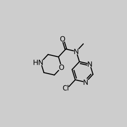 CN(C(=O)C1CNCCO1)c1cc(Cl)ncn1